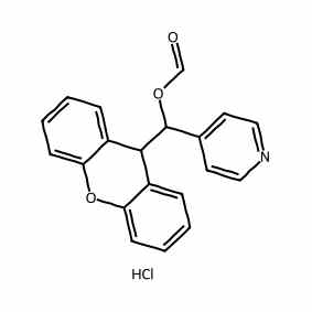 Cl.O=COC(c1ccncc1)C1c2ccccc2Oc2ccccc21